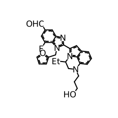 CCC1CN(CCCO)c2cccc3cc(-c4nc5cc(C=O)cc(F)c5n4Cc4ccco4)n1c23